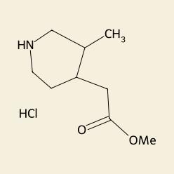 COC(=O)CC1CCNCC1C.Cl